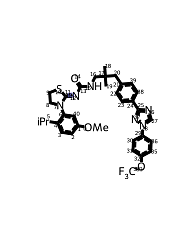 COc1ccc(C(C)C)c(N2CCS/C2=N\C(=O)NCC(C)(C)Cc2ccc(-c3ncn(-c4ccc(OC(F)(F)F)cc4)n3)cc2)c1